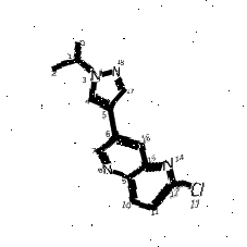 CC(C)n1cc(-c2cnc3ccc(Cl)nc3c2)cn1